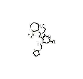 CCc1c([C@@H]2CCCCC[C@H]2N)sc2c(NCc3cccs3)cc(Cl)nc12